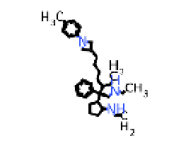 C=CNC1CCCC1C(CNCC)(c1ccccc1)C(CC)CCCCC1CN(c2ccc(C)cc2)C1